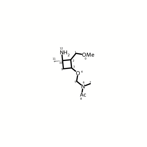 COCC1C(OCN(C)C(C)=O)C[C@@]1(C)N